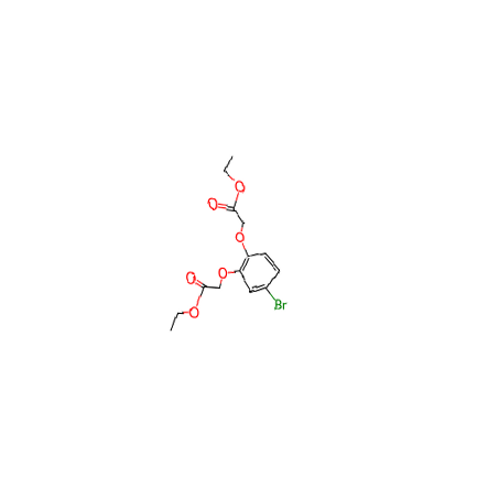 CCOC(=O)COc1ccc(Br)cc1OCC(=O)OCC